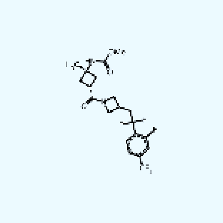 COC(=O)N[C@]1(C)C[C@H](C(=O)N2CC(CC(F)(F)c3ccc(C(F)(F)F)cc3F)C2)C1